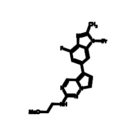 COCCNc1ncc2c(-c3cc(F)c4nc(C)n(C(C)C)c4c3)ccn2n1